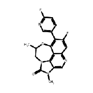 CC1Cn2c(=O)n(C)c3cnc4cc(F)c(-c5ccc(F)nc5)c(c4c32)O1